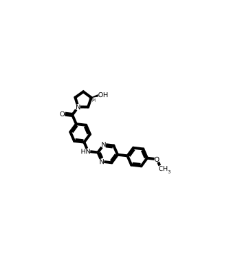 COc1ccc(-c2cnc(Nc3ccc(C(=O)N4CC[C@@H](O)C4)cc3)nc2)cc1